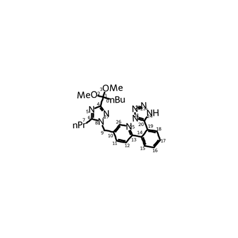 CCCCC(OC)(OC)c1nc(CCC)n(Cc2ccc(-c3ccccc3-c3nnn[nH]3)nc2)n1